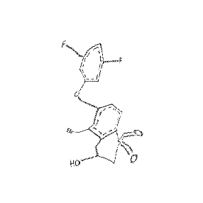 O=S1(=O)CC(O)c2c1ccc(Oc1cc(F)cc(F)c1)c2Br